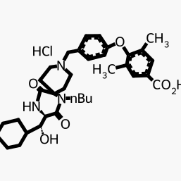 CCCCN1C(=O)[C@@H]([C@H](O)C2CCCCC2)NC(=O)C12CCN(Cc1ccc(Oc3c(C)cc(C(=O)O)cc3C)cc1)CC2.Cl